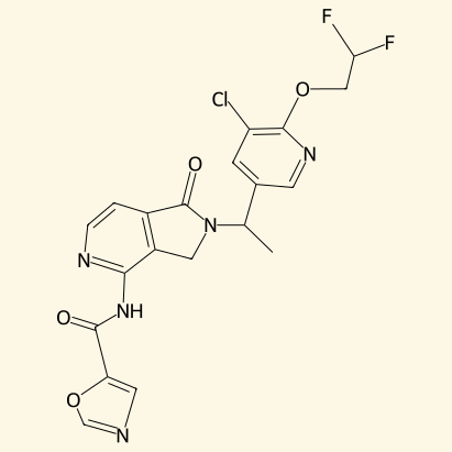 CC(c1cnc(OCC(F)F)c(Cl)c1)N1Cc2c(ccnc2NC(=O)c2cnco2)C1=O